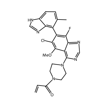 C=CC(=O)N1CCN(c2ncnc3c(F)c(-c4c(C)ccc5[nH]cnc45)c(Cl)c(OC)c23)CC1